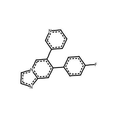 Fc1ccc(-c2cc3nccn3cc2-c2cccnc2)cc1